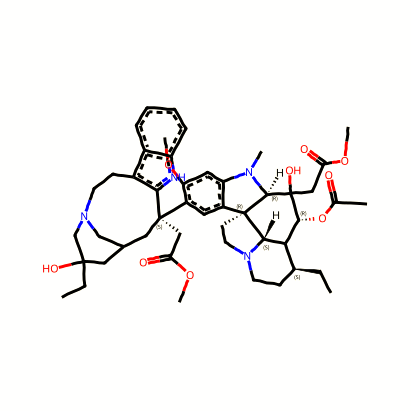 CC[C@H]1CCN2CC[C@]34c5cc([C@@]6(CC(=O)OC)CC7CN(CCc8c6[nH]c6ccccc86)CC(O)(CC)C7)c(OC)cc5N(C)[C@H]3C(O)(CC(=O)OC)[C@H](OC(C)=O)C1[C@H]24